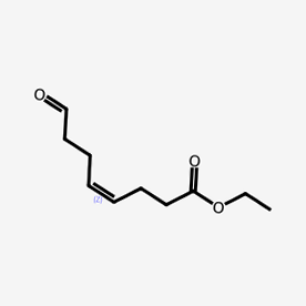 CCOC(=O)CC/C=C\CCC=O